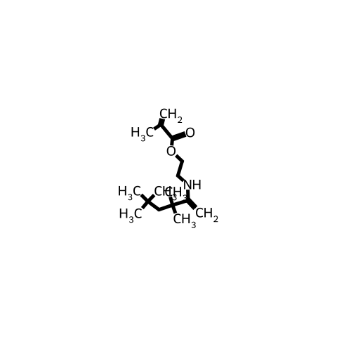 C=C(C)C(=O)OCCNC(=C)C(C)(C)CC(C)(C)C